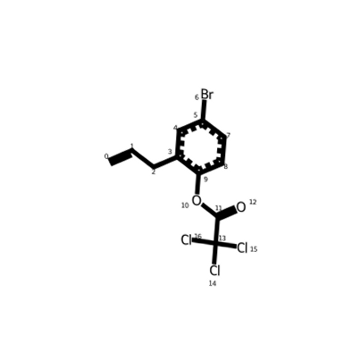 C=CCc1cc(Br)ccc1OC(=O)C(Cl)(Cl)Cl